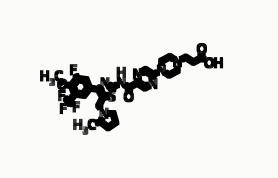 COc1c(F)cc(-c2nc(NC(=O)c3cnc(N4CCN(CCC(=O)O)CC4)cn3)sc2CN2CCCC2C)cc1C(F)(F)F